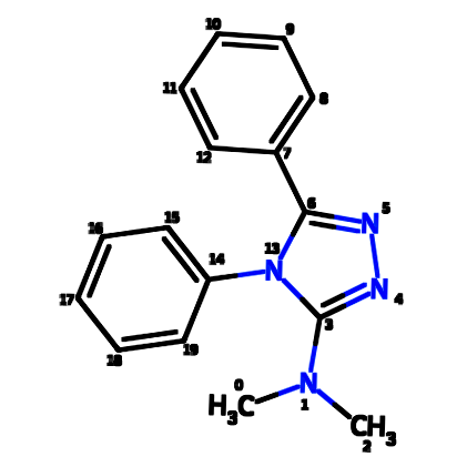 CN(C)c1nnc(-c2ccccc2)n1-c1ccccc1